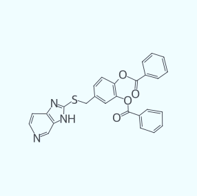 O=C(Oc1ccc(CSc2nc3ccncc3[nH]2)cc1OC(=O)c1ccccc1)c1ccccc1